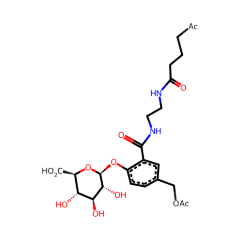 CC(=O)CCCC(=O)NCCNC(=O)c1cc(COC(C)=O)ccc1O[C@@H]1O[C@H](C(=O)O)[C@@H](O)[C@H](O)[C@H]1O